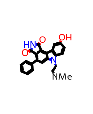 CNCCn1c2ccc(O)cc2c2c3c(c(-c4ccccc4)cc21)C(=O)NC3=O